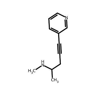 CNC(C)CC#Cc1cccnc1